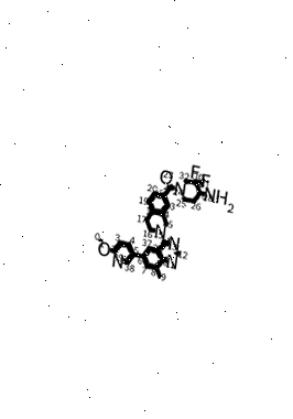 COc1ccc(-c2cc(C)c3ncnc(N4CCc5ccc(C(=O)N6CCC(N)C(F)(F)C6)cc5C4)c3c2)cn1